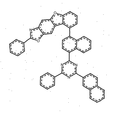 c1ccc(-c2nc(-c3ccc4ccccc4c3)nc(-c3ccc(-c4cccc5oc6cc7nc(-c8ccccc8)oc7cc6c45)c4ccccc34)n2)cc1